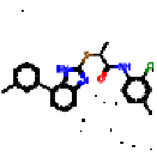 Cc1cccc(-c2cccc3nc(SC(C)C(=O)Nc4ccc(C)cc4Cl)[nH]c23)c1